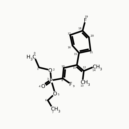 CCOP(=O)(OCC)/C(F)=C/C(=C(C)C)c1ccc(F)cc1